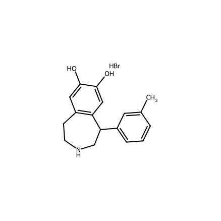 Br.Cc1cccc(C2CNCCc3cc(O)c(O)cc32)c1